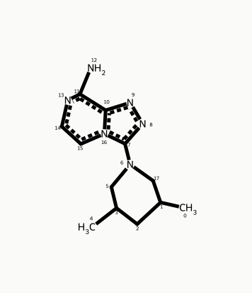 CC1CC(C)CN(c2nnc3c(N)nccn23)C1